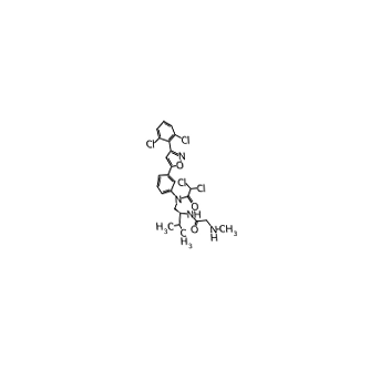 CNCC(=O)N[C@H](CN(C(=O)C(Cl)Cl)c1cccc(-c2cc(-c3c(Cl)cccc3Cl)no2)c1)C(C)C